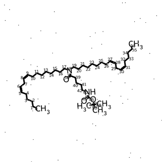 CCCCC/C=C\C/C=C\CCCCCCCCN(CCCCCCCC/C=C\C/C=C\CCCCC)C(=O)CCCCNC(=O)OC(C)(C)C